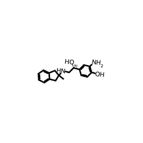 CC1(NC[C@H](O)c2ccc(O)c(N)c2)Cc2ccccc2C1